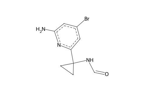 Nc1cc(Br)cc(C2(NC=O)CC2)n1